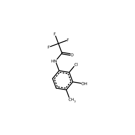 Cc1ccc(NC(=O)C(F)(F)F)c(Cl)c1O